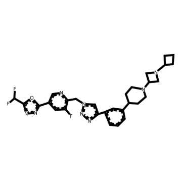 Fc1cc(-c2nnc(C(F)F)o2)cnc1Cn1cc(-c2cccc(C3CCN(C4CN(C5CCC5)C4)CC3)c2)nn1